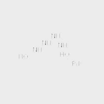 N.N.N.N.[OH-].[OH-].[Pd+2]